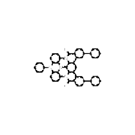 O=c1c2ccc(-c3ccccc3)cc2c2cc3c4cc(-c5ccccc5)ccc4c(=O)n4c5cccc6c5n5c7c(cccc7n1c2c5c34)n6-c1ccccc1